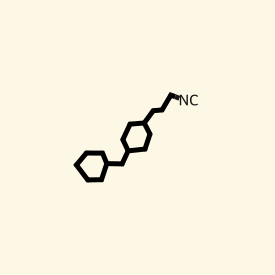 [C-]#[N+]CCCC1CCC(CC2CCCCC2)CC1